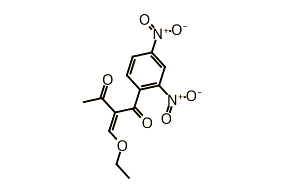 CCO/C=C(/C(C)=O)C(=O)c1ccc([N+](=O)[O-])cc1[N+](=O)[O-]